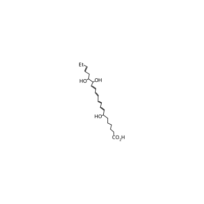 CCC=CCC(O)C(O)C=CC=CC=CC=CC(O)CCCCCC(=O)O